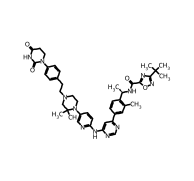 Cc1cc(-c2cc(Nc3ccc(N4CCN(CCc5ccc(N6CCC(=O)NC6=O)cc5)CC4(C)C)cn3)ncn2)ccc1[C@@H](C)NC(=O)c1nc(C(C)(C)C)no1